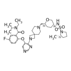 CCN(C(=O)c1cc(F)ccc1Oc1cncnc1N1CC2(CCN(C[C@@H]3CC[C@@H](NS(=O)(=O)N4CCC[C@@H]4C)CO3)CC2)C1)C(C)C